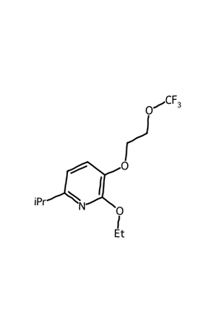 CCOc1nc(C(C)C)ccc1OCCOC(F)(F)F